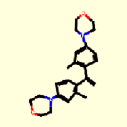 C=C(c1ccc(N2CCOCC2)cc1C)c1ccc(N2CCOCC2)cc1C